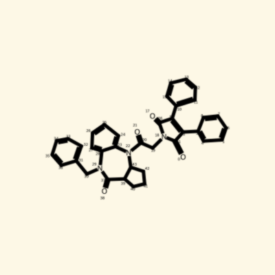 O=C1C(c2ccccc2)=C(c2ccccc2)C(=O)N1CC(=O)N1c2ccccc2N(Cc2ccccc2)C(=O)C2CCCC21